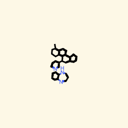 C1=CNc2ccccc2N=C1.CC1=c2ccc3c(c2CCC1)C(c1cccnc1)C=c1ccccc1=3